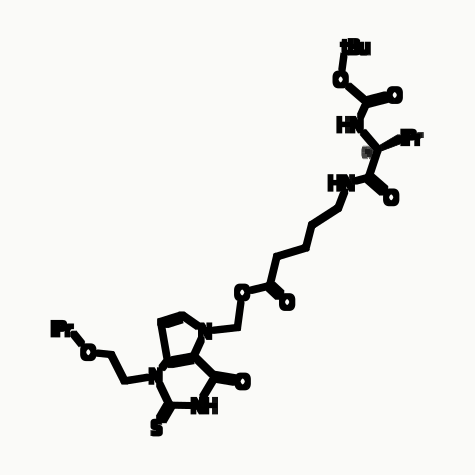 CC(C)OCCn1c(=S)[nH]c(=O)c2c1ccn2COC(=O)CCCCNC(=O)[C@@H](NC(=O)OC(C)(C)C)C(C)C